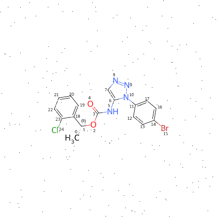 C[C@@H](OC(=O)Nc1cnnn1-c1ccc(Br)cc1)c1ccccc1Cl